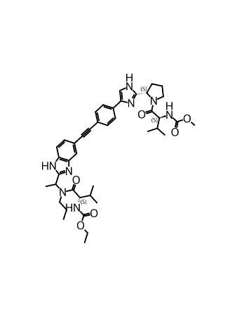 CCCN(C(=O)[C@@H](NC(=O)OCC)C(C)C)C(C)c1nc2cc(C#Cc3ccc(-c4c[nH]c([C@@H]5CCCN5C(=O)[C@@H](NC(=O)OC)C(C)C)n4)cc3)ccc2[nH]1